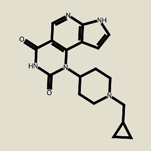 O=c1[nH]c(=O)n(C2CCN(CC3CC3)CC2)c2c1cnc1[nH]ccc12